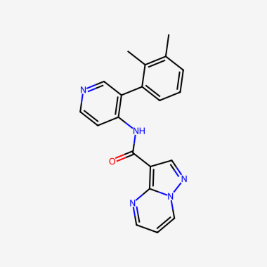 Cc1cccc(-c2cnccc2NC(=O)c2cnn3cccnc23)c1C